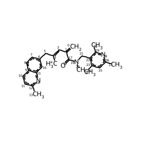 C=C(/C=C(\C)Cc1ccc2ccc(C)nc2c1)C(=O)N(C)Cc1c(C)cc(C)nc1C